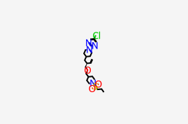 C=C[C@@H](COCC1CCN(S(=O)(=O)CCC)CC1)CC1CCN(c2ncc(Cl)cn2)CC1